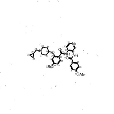 COc1ccc(C(=O)Nc2cnccc2NC(=O)c2ccc(C(C)(C)C)cc2OC2CCN(CC3CC3)CC2)cc1